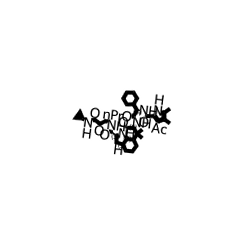 CCCC(NC(=O)[C@@H]1C[C@@H]2CCCC3[C@@H]2N1C(=O)[C@@H](NC(=O)[C@@H](NC(=O)c1[nH]c(C)c(C)c1C(C)=O)C1CCCCC1)C3(C)C)C(=O)C(=O)NC1CC1